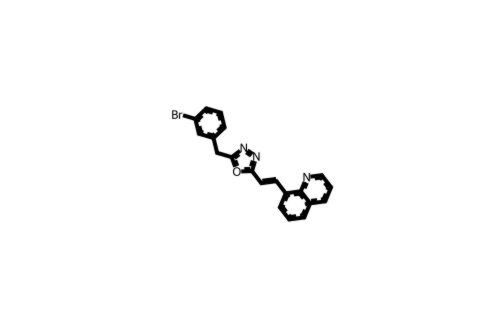 Brc1cccc(Cc2nnc(/C=C/c3cccc4cccnc34)o2)c1